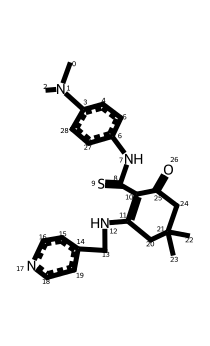 CN(C)c1ccc(NC(=S)C2=C(NCc3ccncc3)CC(C)(C)CC2=O)cc1